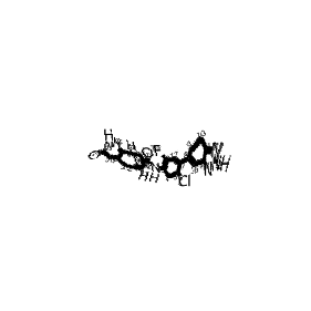 O=C(Nc1cc(Cl)c(-c2ccc3n[nH]nc3c2)cc1F)N1[C@H]2CC[C@@H]1c1n[nH]c(=O)cc1C2